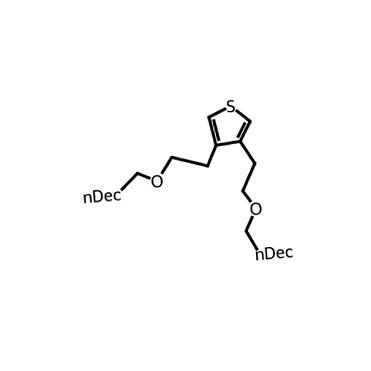 CCCCCCCCCCCOCCc1cscc1CCOCCCCCCCCCCC